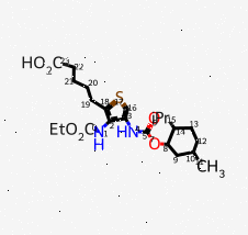 CCOC(=O)Nc1c(NC(=O)OC2CC(C)CCC2C(C)C)csc1CCCCC(=O)O